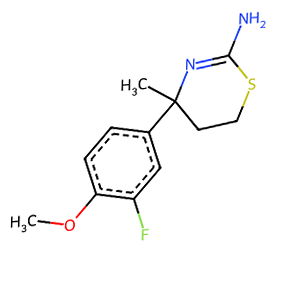 COc1ccc(C2(C)CCSC(N)=N2)cc1F